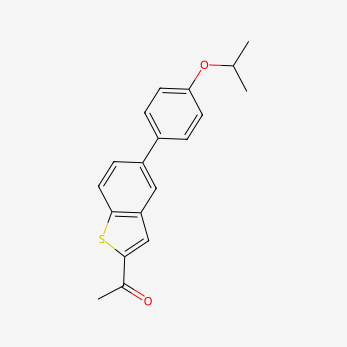 CC(=O)c1cc2cc(-c3ccc(OC(C)C)cc3)ccc2s1